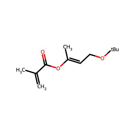 C=C(C)C(=O)O/C(C)=C/COC(C)(C)C